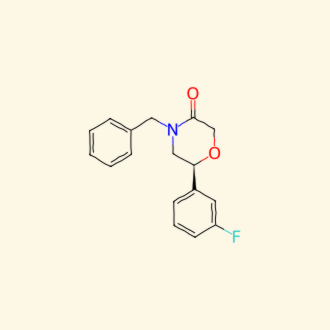 O=C1CO[C@@H](c2cccc(F)c2)CN1Cc1ccccc1